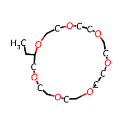 CCC1COCCOCCOCCOCCOCCOCCO1